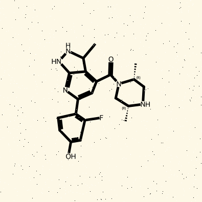 CC1NNc2nc(-c3ccc(O)cc3F)cc(C(=O)N3C[C@@H](C)NC[C@H]3C)c21